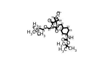 CC(C)(C)OC(=O)NC1CCC(CN2C(=O)N(COCC[Si](C)(C)C)C(=O)C23C[S+]([O-])C3)CC1